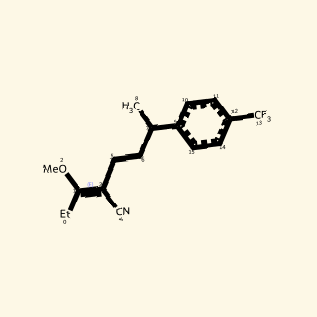 CC/C(OC)=C(\C#N)CCC(C)c1ccc(C(F)(F)F)cc1